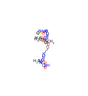 Cc1c(OC2CCC(CCCCN3CCN(c4ccc5c(C6CCC(=O)NC6=O)nn(C)c5c4)CC3)CC2)cccc1-c1ccc(N2CCc3cccc(C(=O)Nc4nc5ccccc5s4)c3C2)nc1C(=O)OC(C)(C)C